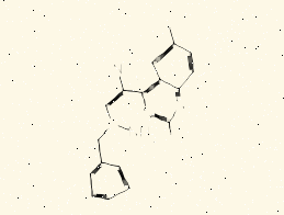 N/C(=C/P(N)Cc1ccccc1)c1nc(Cl)nc2ccc(Cl)cc12